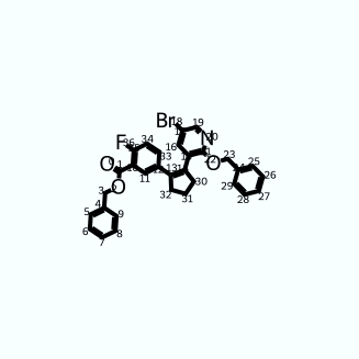 O=C(OCc1ccccc1)c1cc(C2=C(c3cc(Br)cnc3OCc3ccccc3)CCC2)ccc1F